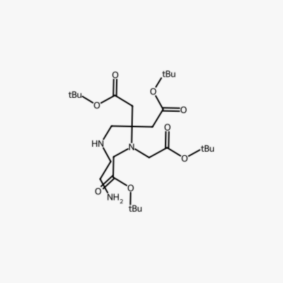 CC(C)(C)OC(=O)CN(CC(=O)OC(C)(C)C)C(CNCCN)(CC(=O)OC(C)(C)C)CC(=O)OC(C)(C)C